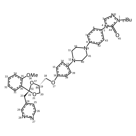 CCC(C)n1ncn(-c2ccc(N3CCN(c4ccc(OC[C@@H]5CO[C@](Cc6ccnnc6)(c6ccccc6OC)O5)cc4)CC3)cc2)c1=O